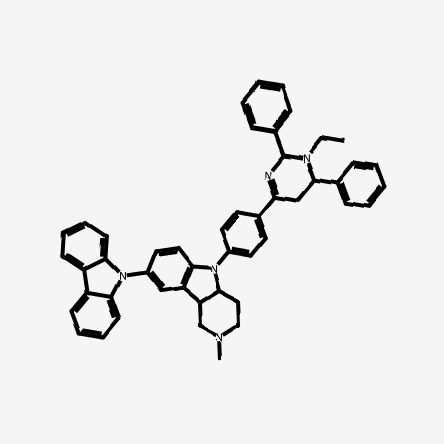 CCN1C(c2ccccc2)CC(c2ccc(N3c4ccc(-n5c6ccccc6c6ccccc65)cc4C4CN(C)CCC43)cc2)=NC1c1ccccc1